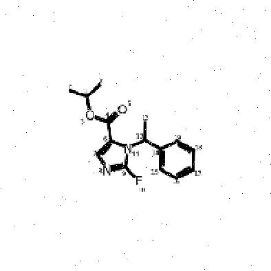 CC(C)OC(=O)c1cnc(F)n1C(C)c1ccccc1